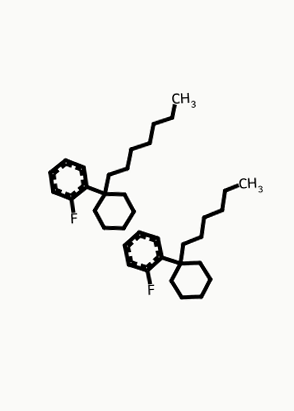 CCCCCCC1(c2ccccc2F)CCCCC1.CCCCCCCC1(c2ccccc2F)CCCCC1